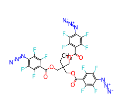 CCC(COC(=O)c1c(F)c(F)c(N=[N+]=[N-])c(F)c1F)(COC(=O)c1c(F)c(F)c(N=[N+]=[N-])c(F)c1F)COC(=O)c1c(F)c(F)c(N=[N+]=[N-])c(F)c1F